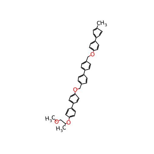 COCC(C)Oc1ccc(-c2ccc(OCc3ccc(-c4ccc(COc5ccc(-c6ccc(C)cc6)cc5)cc4)cc3)cc2)cc1